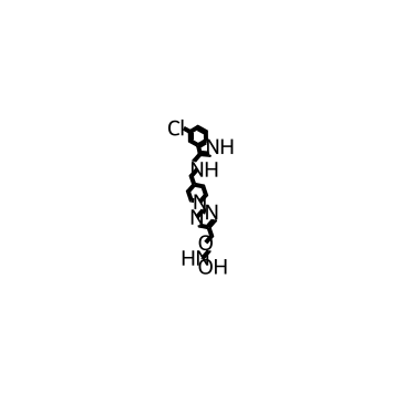 ONCOCc1cnc(N2CCC(CNCc3c[nH]c4ccc(Cl)cc34)CC2)nc1